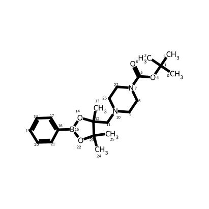 CC(C)(C)OC(=O)N1CCN(CC2(C)OB(c3ccccc3)OC2(C)C)CC1